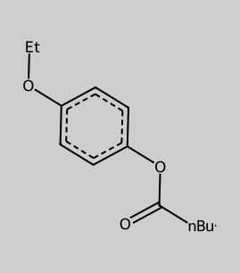 CCC[CH]C(=O)Oc1ccc(OCC)cc1